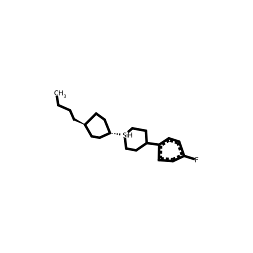 CCCC[C@H]1CC[C@H]([SiH]2CCC(c3ccc(F)cc3)CC2)CC1